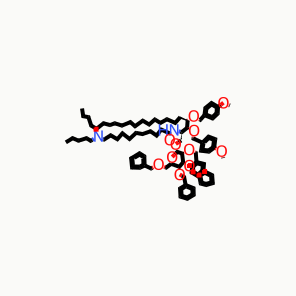 CCCCCCCCCCCCCC[C@@H](OCc1ccc(OC)cc1)[C@@H](OCc1ccc(OC)cc1)[C@H](CO[C@H]1OC(COCc2ccccc2)[C@H](OCc2ccccc2)[C@@H](OCc2ccccc2)[C@@H]1OCc1ccccc1)NC(=O)CCCCCCCCCCN(CCCCC)CCCCC